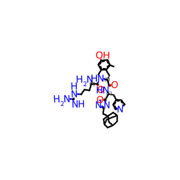 Cc1cc(O)cc(C)c1C[C@H](NC(=O)[C@H](N)CCCNC(=N)N)C(=O)N[C@@H](Cc1ccncc1)c1nc(CC23CC4CC(CC(C4)C2)C3)no1